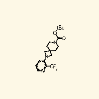 CC(C)(C)OC(=O)N1CCC2(CC1)CN(c1cccnc1C(F)(F)F)C2